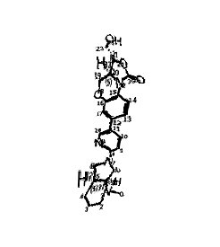 CN1CCC[C@H]2CN(c3ccc(-c4ccc5c(c4)OC[C@H]4[C@H](CO)OC(=O)N54)cn3)C[C@H]21